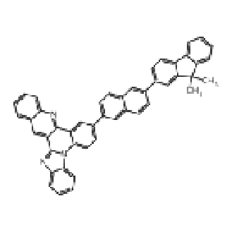 CC1(C)c2ccccc2-c2ccc(-c3ccc4cc(-c5ccc6c(c5)c5nc7ccccc7cc5c5nc7ccccc7n65)ccc4c3)cc21